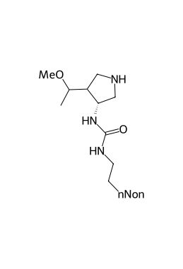 CCCCCCCCCCCNC(=O)N[C@H]1CNCC1C(C)OC